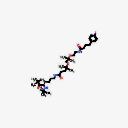 CC(C)(C)N[C@@H](CCCCNC(=O)CCC(C)(C)OCC(C)(C)OCCNC(=O)CCCc1ccc(I)cc1)C(=O)C(C)(C)C